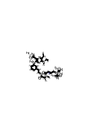 [2H]C([2H])([2H])N(C/C=C/C(=O)N(C)[C@@H](C)C(=O)NCCc1cccc(Nc2nc(N(C)CC)c(CC)nc2C(N)=O)c1)C([2H])([2H])[2H]